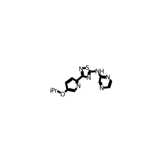 CC(C)Oc1ccc(-c2nsc(Nc3[c]nccn3)n2)nc1